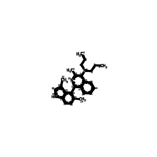 CCCN(CCC)c1c(C)nc(-c2c(C)ccc3[nH]cc(C)c23)c2ccccc12